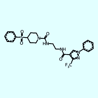 O=C(NCCNC(=O)N1CCC(S(=O)(=O)c2ccccc2)CC1)c1cn(-c2ccccc2)nc1C(F)(F)F